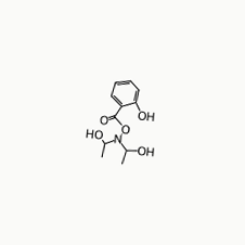 CC(O)N(OC(=O)c1ccccc1O)C(C)O